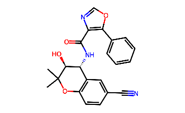 CC1(C)Oc2ccc(C#N)cc2[C@@H](NC(=O)c2ncoc2-c2ccccc2)[C@@H]1O